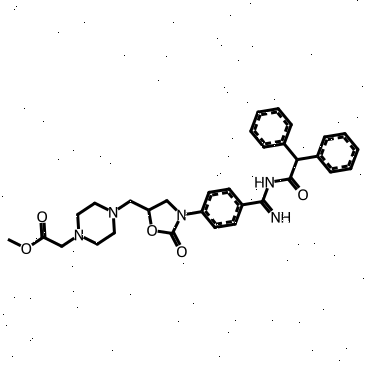 COC(=O)CN1CCN(CC2CN(c3ccc(C(=N)NC(=O)C(c4ccccc4)c4ccccc4)cc3)C(=O)O2)CC1